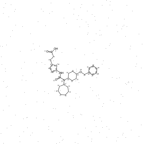 O=C(O)CSc1cnc(NC(=O)N(C2CCCCCC2)C2CCC(OCc3ccccc3)CC2)s1